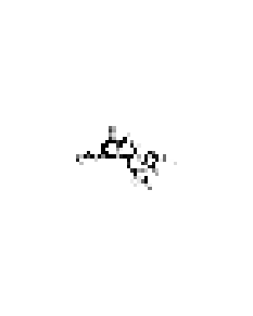 CCOC(=O)C(CC(C)C)n1cc(CC=O)cc(F)c1=O